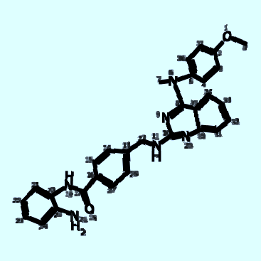 COc1ccc(N(C)c2nc(NCc3ccc(C(=O)Nc4ccccc4N)cc3)nc3ccccc23)cc1